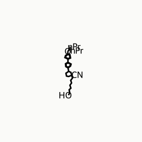 CCCC(CCC)Oc1ccc(-c2ccc(C3CCCC(C#N)(CCCCCCCO)C3)cc2)cc1